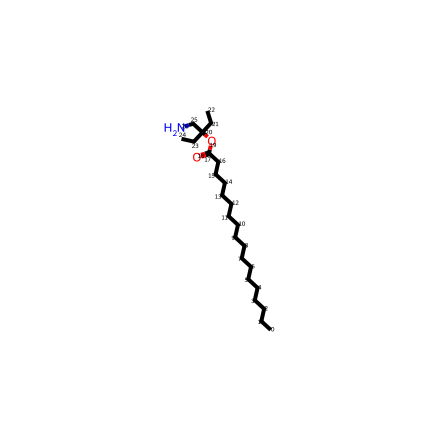 CCCCCCCCCCCCCCCCCC(=O)OC(CC)(CC)CN